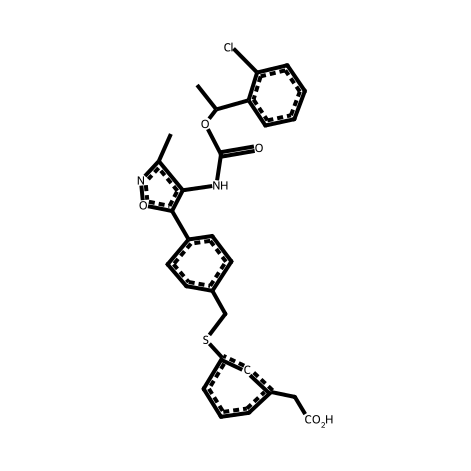 Cc1noc(-c2ccc(CSc3cccc(CC(=O)O)c3)cc2)c1NC(=O)OC(C)c1ccccc1Cl